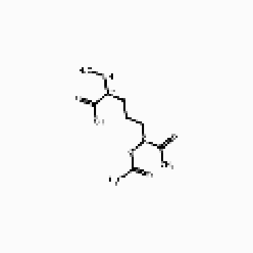 CN[C@@H](CCCN(OC(C)=O)C(C)=O)C(=O)O